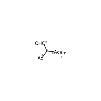 CC(=O)C(C=O)C(C)=O.[Rh]